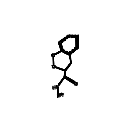 CCCNC(=O)C1Cc2ccccc2OO1